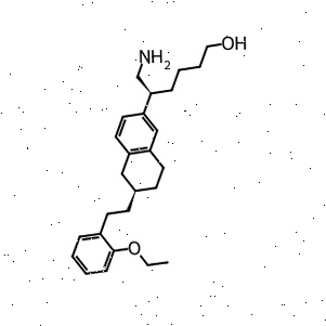 CCOc1ccccc1CC[C@@H]1CCc2cc([C@@H](CN)CCCCO)ccc2C1